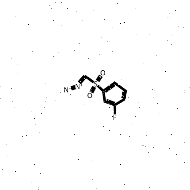 [N-]=[N+]=CS(=O)(=O)c1cccc(F)c1